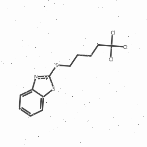 ClC(Cl)(Cl)CCCCSc1nc2ccccc2s1